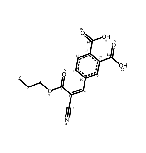 CCCOC(=O)C(C#N)=Cc1ccc(C(=O)O)c(C(=O)O)c1